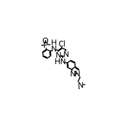 CN(C)CCn1cc2ccc(Nc3ncc(Cl)c(Nc4ccccc4P(C)(C)=O)n3)cc2n1